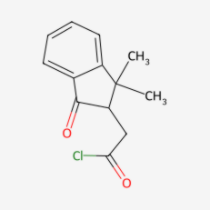 CC1(C)c2ccccc2C(=O)C1CC(=O)Cl